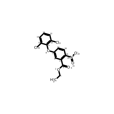 CCOC(=O)c1cc(Oc2c(Cl)cccc2Cl)ccc1[N+](=O)[O-]